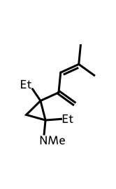 C=C(C=C(C)C)C1(CC)CC1(CC)NC